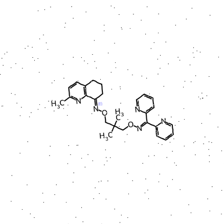 Cc1ccc2c(n1)/C(=N/OCC(C)(C)CON=C(c1ccccn1)c1ccccn1)CCC2